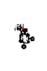 O=C(O)c1cccc(C2=CC3=CC4=NC(=C(c5ccccc5)C5=NC(=C(c6ccccc6)C6=NC(=C(c7ccccc7)C2=N3)C=C6)C=C5)C=C4)c1